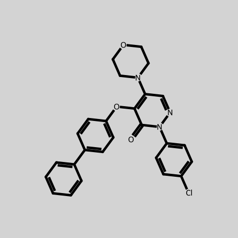 O=c1c(Oc2ccc(-c3ccccc3)cc2)c(N2CCOCC2)cnn1-c1ccc(Cl)cc1